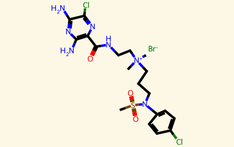 C[N+](C)(CCCN(c1ccc(Cl)cc1)S(C)(=O)=O)CCNC(=O)c1nc(Cl)c(N)nc1N.[Br-]